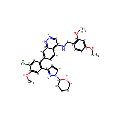 COc1ccc(CNc2cnnc3cc(-c4cc(Cl)c(OC)cc4-c4ccn(C5CCCCO5)n4)ccc23)c(OC)c1